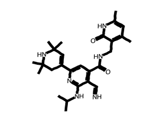 Cc1cc(C)c(CNC(=O)c2cc(C3=CC(C)(C)NC(C)(C)C3)nc(NC(C)C)c2C=N)c(=O)[nH]1